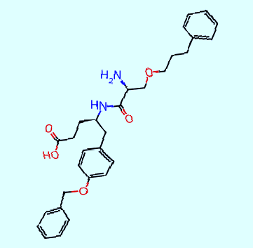 N[C@@H](COCCCc1ccccc1)C(=O)N[C@H](CCC(=O)O)Cc1ccc(OCc2ccccc2)cc1